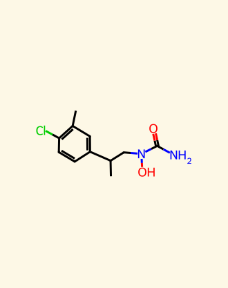 Cc1cc(C(C)CN(O)C(N)=O)ccc1Cl